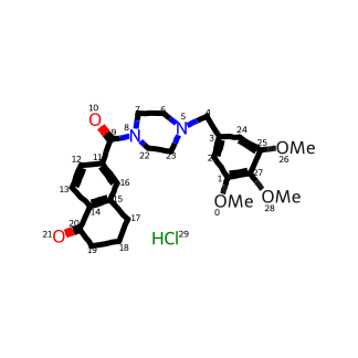 COc1cc(CN2CCN(C(=O)c3ccc4c(c3)CCCC4=O)CC2)cc(OC)c1OC.Cl